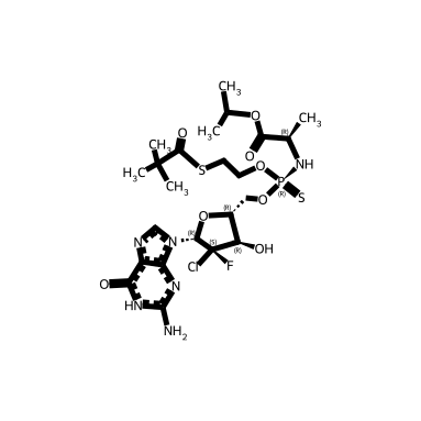 CC(C)OC(=O)[C@@H](C)N[P@](=S)(OCCSC(=O)C(C)(C)C)OC[C@H]1O[C@@H](n2cnc3c(=O)[nH]c(N)nc32)[C@@](F)(Cl)[C@@H]1O